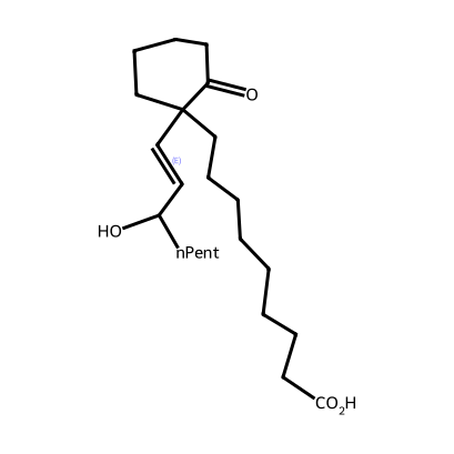 CCCCCC(O)/C=C/C1(CCCCCCCCC(=O)O)CCCCC1=O